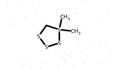 CS1(C)CSSS1